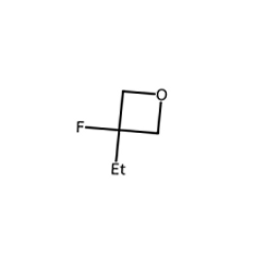 CCC1(F)COC1